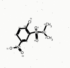 CN(C)S(=O)(=O)c1cc([N+](=O)[O-])ccc1Cl